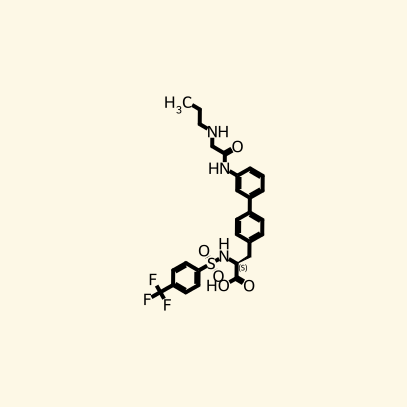 CCCNCC(=O)Nc1cccc(-c2ccc(C[C@H](NS(=O)(=O)c3ccc(C(F)(F)F)cc3)C(=O)O)cc2)c1